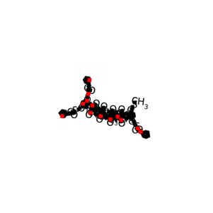 CSCCOc1ccc(OCCSC(=O)OCc2ccccc2)c2c1CN1C(=O)N3CN4C(=O)N5CN6C(=O)N7CN8C(=O)N9Cc%10c(OCCSC(=O)OCc%11ccccc%11)ccc(OCCSC(=O)OCc%11ccccc%11)c%10CN%10C(=O)N(CN%11C(=O)N(CN%12C(=O)N(CN%13C(=O)N(C2)[C@@]1(C)[C@]3%13C)[C@H]4[C@H]5%12)[C@H]6[C@H]7%11)[C@@]8(C)[C@]9%10C